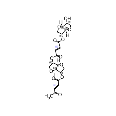 CC(=O)/C=C/C(=O)O[C@@H]1CO[C@H]2[C@@H]1OC[C@H]2OC(=O)/C=C/C(=O)O[C@@H]1CO[C@H]2[C@@H]1OC[C@H]2O